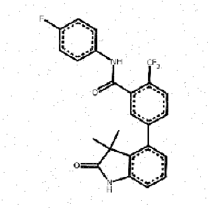 CC1(C)C(=O)Nc2cccc(-c3ccc(C(F)(F)F)c(C(=O)Nc4ccc(F)cc4)c3)c21